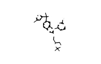 Cc1cc(C(C)(O)c2ccc3nc(OCC4COC(C)(C)O4)n(-c4ccnc(N)n4)c3c2)no1